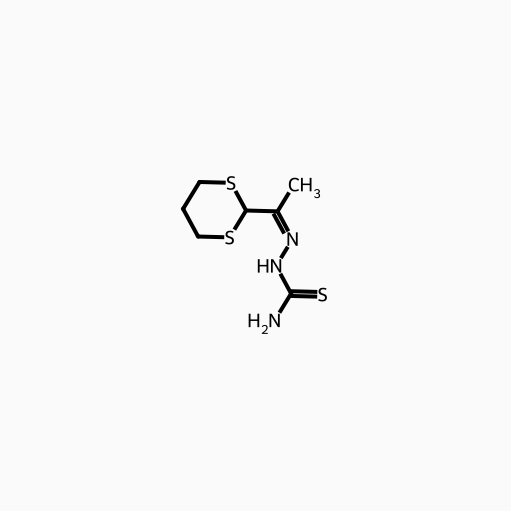 C/C(=N/NC(N)=S)C1SCCCS1